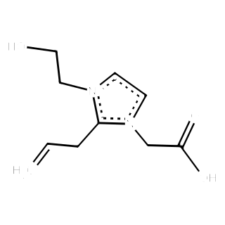 C=CCc1n(CC(=O)O)cc[n+]1CCO